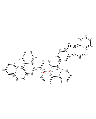 c1ccc(-c2ccccc2N(c2ccc(-c3cc4ccc5ccccc5c4c4ccccc34)cc2)c2ccc3oc4c5ccccc5ccc4c3c2)cc1